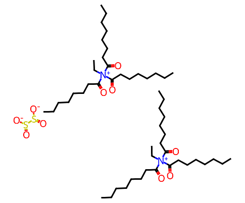 CCCCCCCC(=O)[N+](CC)(C(=O)CCCCCCC)C(=O)CCCCCCC.CCCCCCCC(=O)[N+](CC)(C(=O)CCCCCCC)C(=O)CCCCCCC.O=S([O-])S(=O)[O-]